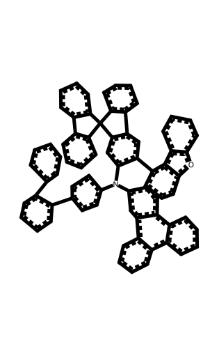 c1ccc(-c2ccccc2-c2ccc(N(c3ccc4c5ccccc5c5ccccc5c4c3)c3cc4c(cc3-c3cccc5oc6ccccc6c35)-c3ccccc3C43c4ccccc4-c4ccccc43)cc2)cc1